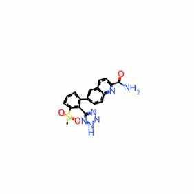 CS(=O)(=O)c1cccc(-c2ccc3nc(C(N)=O)ccc3c2)c1-c1nn[nH]n1